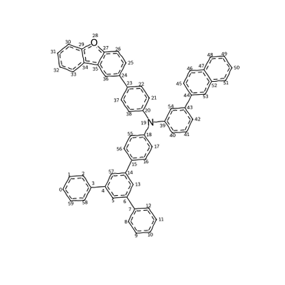 c1ccc(-c2cc(-c3ccccc3)cc(-c3ccc(N(c4ccc(-c5ccc6oc7ccccc7c6c5)cc4)c4cccc(-c5ccc6ccccc6c5)c4)cc3)c2)cc1